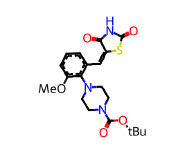 COc1cccc(C=C2SC(=O)NC2=O)c1N1CCN(C(=O)OC(C)(C)C)CC1